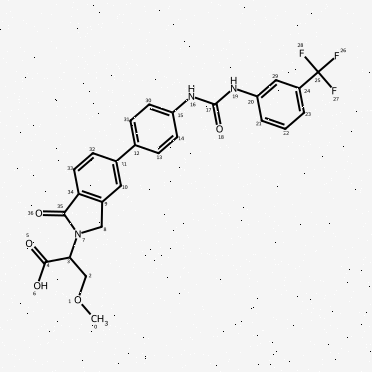 COCC(C(=O)O)N1Cc2cc(-c3ccc(NC(=O)Nc4cccc(C(F)(F)F)c4)cc3)ccc2C1=O